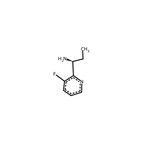 CC[C@H](N)c1ncccc1F